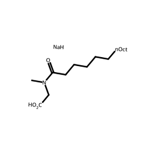 CCCCCCCCCCCCCC(=O)N(C)CC(=O)O.[NaH]